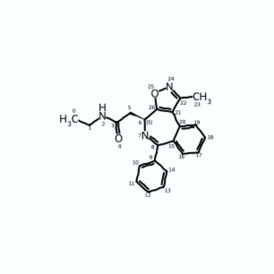 CCNC(=O)C[C@@H]1N=C(c2ccccc2)c2ccccc2-c2c(C)noc21